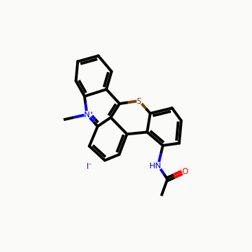 CC(=O)Nc1cccc2c1-c1cccc3c1c(c1ccccc1[n+]3C)S2.[I-]